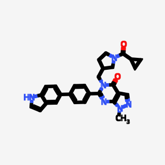 Cn1ncc2c(=O)n(CC3CCN(C(=O)C4CC4)C3)c(-c3ccc(-c4ccc5[nH]ccc5c4)cc3)nc21